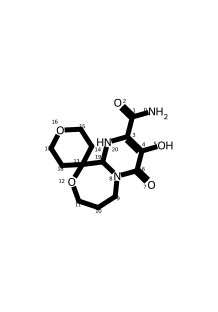 NC(=O)C1=C(O)C(=O)N2CCCOC3(CCOCC3)C2N1